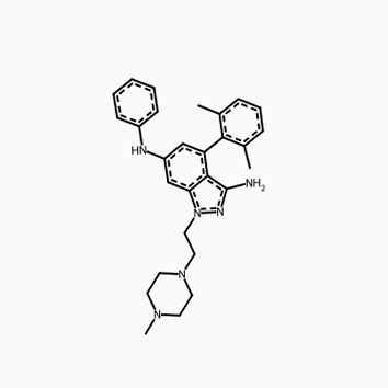 Cc1cccc(C)c1-c1cc(Nc2ccccc2)cc2c1c(N)nn2CCN1CCN(C)CC1